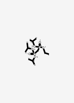 CCOP(=O)(CP(=O)(OC(C)C)OC(C)C)OC(C)C